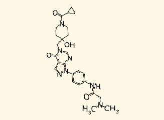 CN(C)CC(=O)Nc1ccc(-n2ncc3c(=O)n(CC4(O)CCN(C(=O)C5CC5)CC4)cnc32)cc1